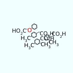 Cc1ccc(C(=O)O)c(C)c1.Cc1ccc(CC(=O)O)cc1.Cc1ccccc1CC(=O)O.O=C(O)COc1ccccc1